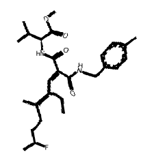 CCC(/C=C(\C(=O)NCc1ccc(C)cc1)C(=O)N[C@H](C(=O)OC)C(C)C)=C(/C)CCC(C)F